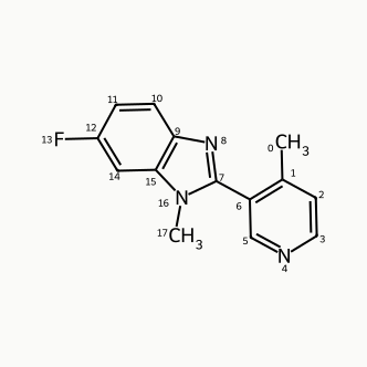 Cc1ccncc1-c1nc2ccc(F)cc2n1C